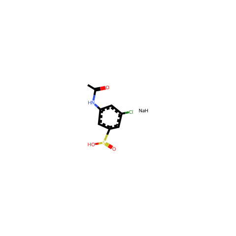 CC(=O)Nc1cc(Cl)cc(S(=O)O)c1.[NaH]